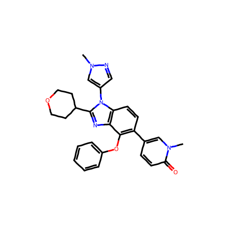 Cn1cc(-n2c(C3CCOCC3)nc3c(Oc4ccccc4)c(-c4ccc(=O)n(C)c4)ccc32)cn1